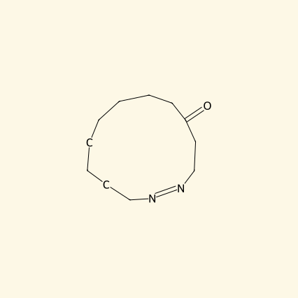 O=C1CCCCCCCCN=NCC1